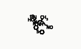 C/C=C(\C=C\N(/N=C1/C=CC(Sc2ccccc2)=CC1=N)/C(O)=C/C(C)(C)C)OCCCN=O